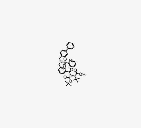 CC(C)(C)OC(=O)N(C(=O)c1cccc(CN(Cc2ccc(-c3ccccc3)cc2)S(=O)(=O)c2ccccn2)n1)C(C(=O)O)C(C)(C)C